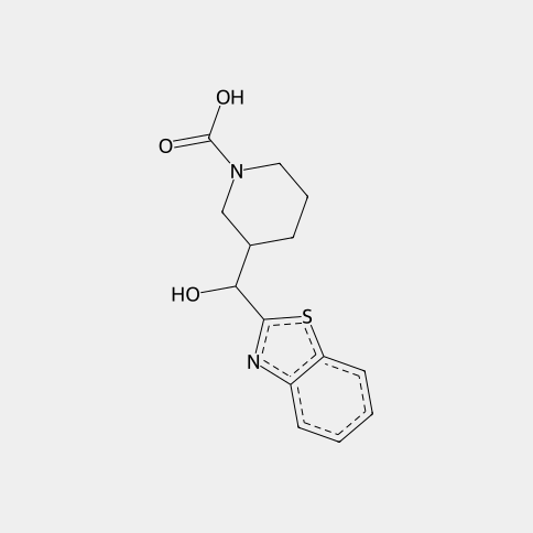 O=C(O)N1CCCC(C(O)c2nc3ccccc3s2)C1